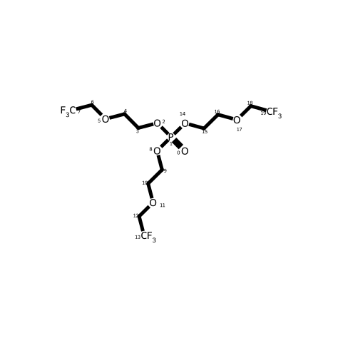 O=P(OCCOCC(F)(F)F)(OCCOCC(F)(F)F)OCCOCC(F)(F)F